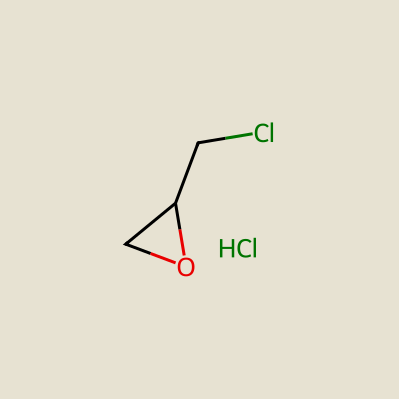 Cl.ClCC1CO1